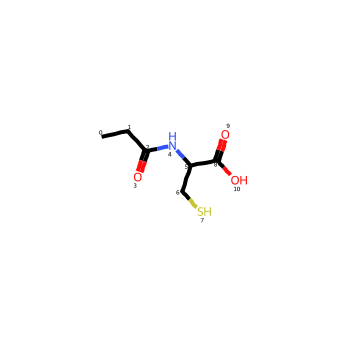 CCC(=O)NC(CS)C(=O)O